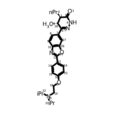 CCC[C@H]1C(=O)NN=C(c2ccc3nc(-c4ccc(OCCN(C(C)C)C(C)C)cc4)oc3c2)[C@@H]1C